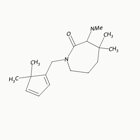 CNC1C(=O)N(CC2=CC=CC2(C)C)CCCC1(C)C